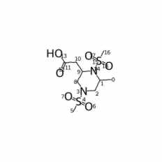 CC1CN(S(C)(=O)=O)CC(CC(=O)O)N1S(C)(=O)=O